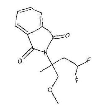 COCC(C)(CC(F)F)N1C(=O)c2ccccc2C1=O